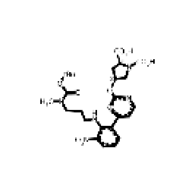 CN(CCCNc1c(-c2ccnc(O[C@H]3C[C@@H](C(=O)O)N(C(=O)O)C3)n2)cccc1[N+](=O)[O-])C(=O)OC(C)(C)C